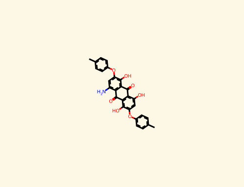 Cc1ccc(Oc2cc(N)c3c(c2O)C(=O)c2c(O)cc(Oc4ccc(C)cc4)c(O)c2C3=O)cc1